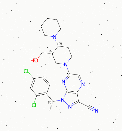 C[C@H](c1ccc(Cl)cc1Cl)n1nc(C#N)c2ncc(N3CC[C@@H](N4CCCCC4)[C@@H](CO)C3)nc21